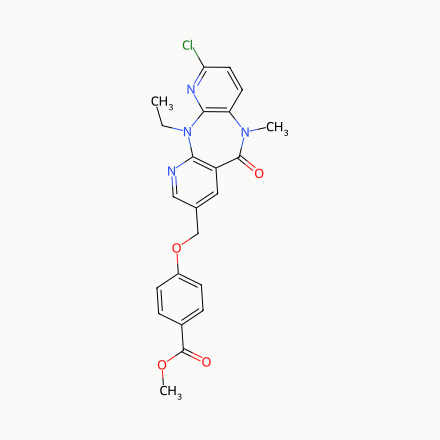 CCN1c2ncc(COc3ccc(C(=O)OC)cc3)cc2C(=O)N(C)c2ccc(Cl)nc21